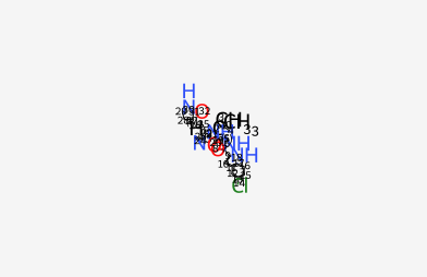 CC(C)(C)C[C@H](NC(=O)c1cc2cc(Cl)ccc2[nH]1)C(=O)N[C@H](C#N)CC[C@@H]1CCNC1=O